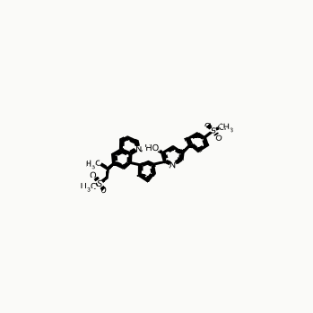 CC(CS(C)(=O)=O)c1cc(-c2cccc(-c3ncc(-c4ccc(S(C)(=O)=O)cc4)cc3O)c2)c2ncccc2c1